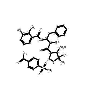 CS(=O)(=O)c1ccc(C(N)=O)cc1.Cc1c(O)cccc1C(=O)NC(Cc1ccccc1)C(O)C(=O)N1CSC(C)(C)C1C(=O)O